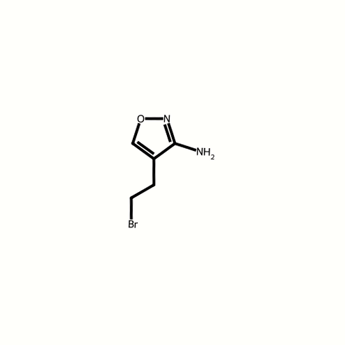 Nc1nocc1CCBr